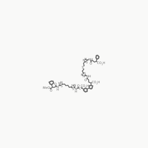 COC(=O)C(CC(=O)Nc1nnc(CCCCc2nnc(NC(=O)CC(C(=O)O)c3cccc(-c4cccc(C(CCC(=O)Nc5nnc(CCSCCc6nnc(NC(=O)CCC(C(=O)O)c7ccccc7)s6)s5)C(=O)O)c4)c3)s2)s1)c1ccccc1